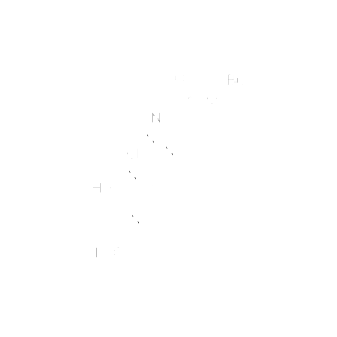 C=CN/C=C(/Cn1cc(C(=O)OC(C)(C)C)nn1)N(C)C